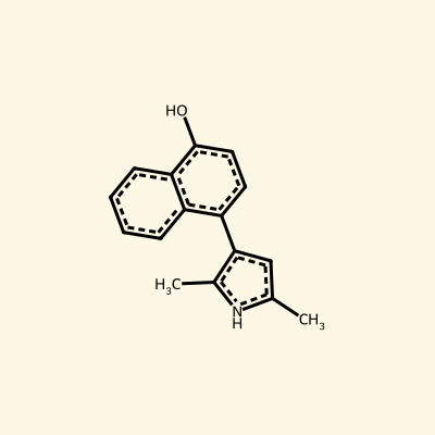 Cc1cc(-c2ccc(O)c3ccccc23)c(C)[nH]1